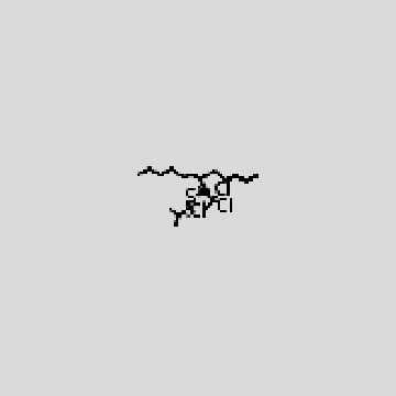 CCCCCCC(CCCCC)[C@H](SSC(C)C)C(Cl)(Cl)Cl